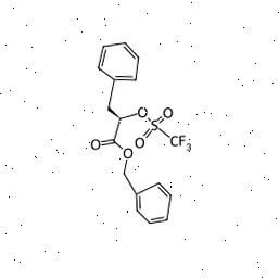 O=C(OCc1ccccc1)[C@@H](Cc1ccccc1)OS(=O)(=O)C(F)(F)F